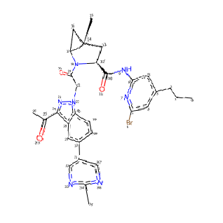 CCCc1cc(Br)nc(NC(=O)[C@@H]2C[C@@]3(C)CC3N2C(=O)Cn2nc(C(C)=O)c3cc(-c4cnc(C)nc4)ccc32)c1